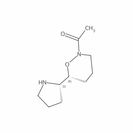 CC(=O)N1CCC[C@H]([C@@H]2CCCN2)O1